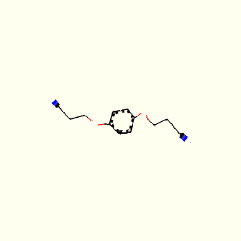 N#CCCOc1ccc(OCCC#N)cc1